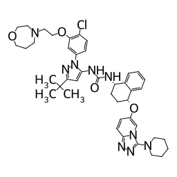 CC(C)(C)c1cc(NC(=O)N[C@H]2CC[C@@H](Oc3ccc4nnc(N5CCCCC5)n4c3)c3ccccc32)n(-c2ccc(Cl)c(OCCN3CCCOCC3)c2)n1